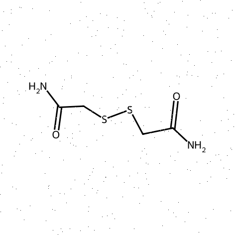 NC(=O)CSSCC(N)=O